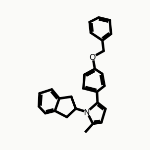 Cc1ccc(-c2ccc(OCc3ccccc3)cc2)n1C1Cc2ccccc2C1